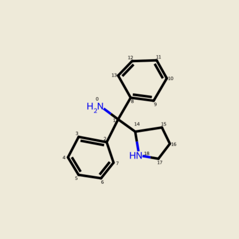 NC(c1ccccc1)(c1ccccc1)C1CCCN1